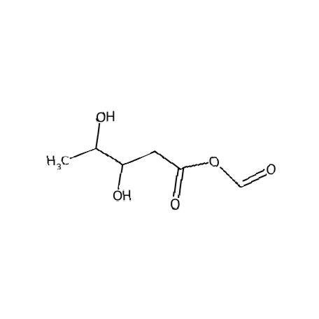 CC(O)C(O)CC(=O)OC=O